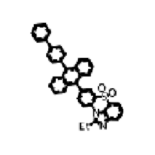 CCc1nc2cccc3c2n1-c1ccc(-c2c4ccccc4c(-c4ccc(-c5ccccc5)cc4)c4ccccc24)cc1S3(=O)=O